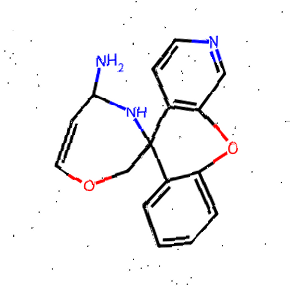 NC1C=COCC2(N1)c1ccccc1Oc1cnccc12